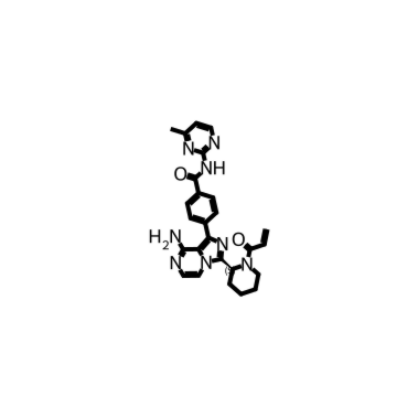 C=CC(=O)N1CCCC[C@H]1c1nc(-c2ccc(C(=O)Nc3nccc(C)n3)cc2)c2c(N)nccn12